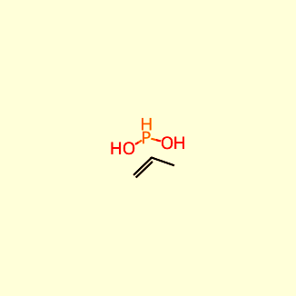 C=CC.OPO